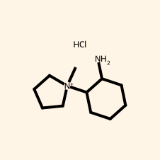 C[N+]1(C2CCCCC2N)CCCC1.Cl